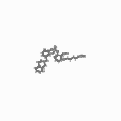 CCCCCCCCCCCCCCOc1cccc(OP(=O)(O)Oc2cccc(CN3C=Cc4ccccc4C3)c2)c1OC